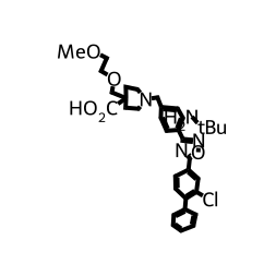 CC(C)(C)N.COCCOCC1(C(=O)O)CCN(Cc2ccc(-c3noc(-c4ccc(-c5ccccc5)c(Cl)c4)n3)cc2)CC1